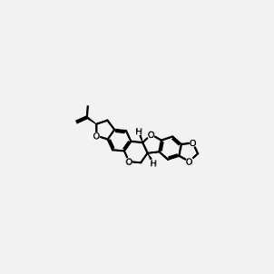 C=C(C)[C@H]1Cc2cc3c(cc2O1)OC[C@H]1c2cc4c(cc2O[C@@H]31)OCO4